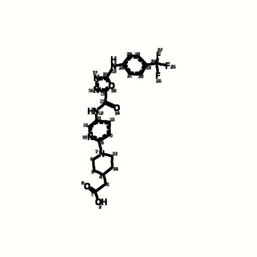 O=C(O)CC1CCN(c2ccc(NC(=O)c3nnc(Nc4ccc(C(F)(F)F)cc4)o3)cn2)CC1